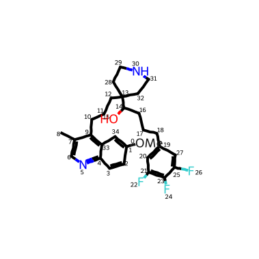 COc1ccc2ncc(C)c(CCCC3(C(O)CCCc4cc(F)c(F)c(F)c4)CCNCC3)c2c1